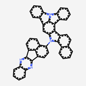 c1ccc2c(c1)ccc1c3c4c5ccccc5n5c6ccccc6c(cc3n(-c3ccc6c7c(cccc37)-c3nc7ccccc7nc3-6)c21)c45